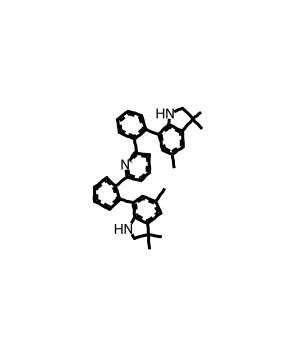 Cc1cc(-c2ccccc2-c2cccc(-c3ccccc3-c3cc(C)cc4c3NCC4(C)C)n2)c2c(c1)C(C)(C)CN2